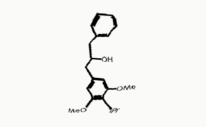 COc1cc(CC(O)Cc2ccccc2)cc(OC)c1C(C)C